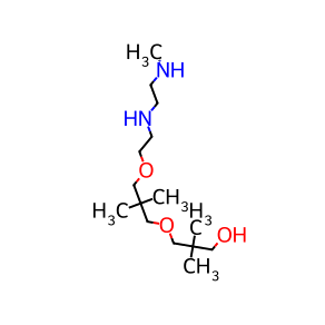 CNCCNCCOCC(C)(C)COCC(C)(C)CO